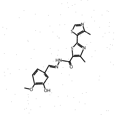 COc1ccc(/C=N/NC(=O)c2sc(-c3scnc3C)nc2C)cc1O